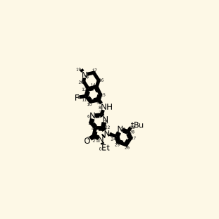 CCn1c(=O)c2cnc(Nc3cc(F)c4c(c3)CCN(C)C4)nc2n1-c1cccc(C(C)(C)C)n1